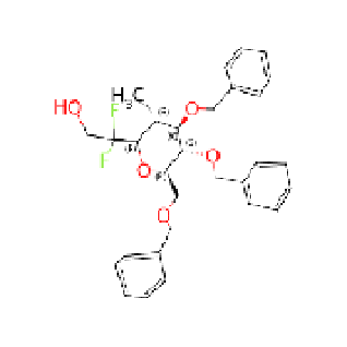 C[C@@H]1[C@@H](OCc2ccccc2)[C@H](OCc2ccccc2)[C@@H](COCc2ccccc2)O[C@H]1C(F)(F)CO